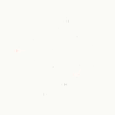 CC(C)=CCC1CC(O)CC(CC(C)CCC2=CC(O)CCC2)C1